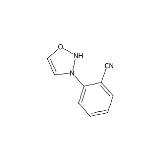 N#Cc1ccccc1N1C=CON1